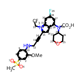 COc1cc(S(C)(=O)=O)ccc1NCC#Cc1cc2c(N(C(=O)O)C3CCOCC3)cc(F)cc2n1CC(F)(F)F